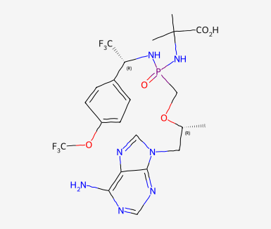 C[C@H](Cn1cnc2c(N)ncnc21)OCP(=O)(N[C@H](c1ccc(OC(F)(F)F)cc1)C(F)(F)F)NC(C)(C)C(=O)O